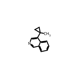 CC1(c2cncc3ccccc23)CC1